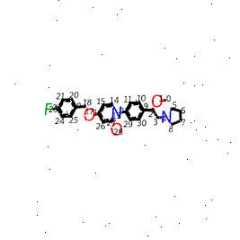 COC(CN1CCCC1)c1ccc(-n2ccc(OCc3ccc(F)cc3)cc2=O)cc1